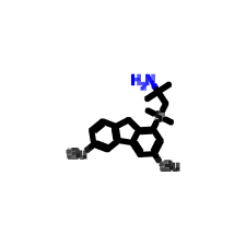 CC(C)(N)C[Si](C)(C)c1cc(C(C)(C)C)cc2c1Cc1ccc(C(C)(C)C)cc1-2